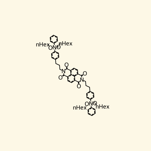 CCCCCCO[N+](OCCCCCC)(c1ccccc1)c1ccc(CCCN2C(=O)c3ccc4c5c(ccc(c35)C2=O)C(=O)N(CCCc2ccc([N+](OCCCCCC)(OCCCCCC)c3ccccc3)cc2)C4=O)cc1